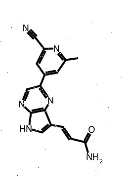 Cc1cc(-c2cnc3[nH]cc(/C=C/C(N)=O)c3n2)cc(C#N)n1